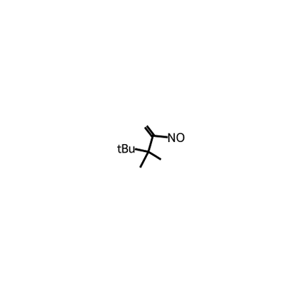 C=C(N=O)C(C)(C)C(C)(C)C